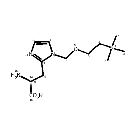 C[Si](C)(C)CCOCn1ccnc1C[C@H](N)C(=O)O